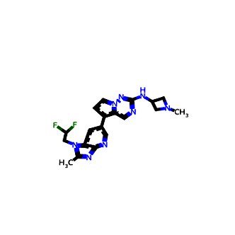 Cc1nc2ncc(-c3ccn4nc(NC5CN(C)C5)ncc34)cc2n1CC(F)F